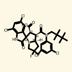 CC(C)(C)C(C)(C)CN(C(=O)[C@H]1[C@H]2CC(F)(F)CN2[C@]2(C(=O)Nc3c(Cl)cc(Cl)cc32)[C@H]1C(=O)O)c1cc(Cl)cc(Cl)c1